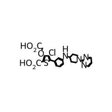 O=C(O)COc1c(C(=O)O)sc(-c2cccc(NC3CCN(c4ncccn4)CC3)c2)c1Cl